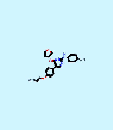 COCCOc1ccc(-c2cnc(N[C@H]3CC[C@@H](C)CC3)nc2O[C@@H]2CCOC2)cc1